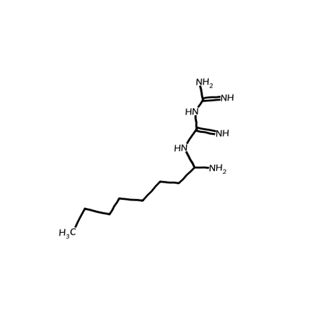 CCCCCCCC(N)NC(=N)NC(=N)N